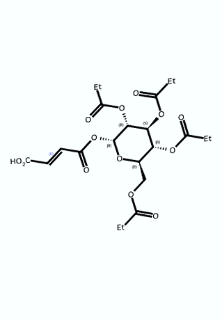 CCC(=O)OC[C@H]1O[C@H](OC(=O)/C=C/C(=O)O)[C@H](OC(=O)CC)[C@@H](OC(=O)CC)[C@@H]1OC(=O)CC